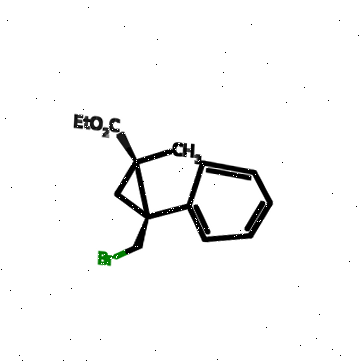 CCOC(=O)[C@]1(C)C[C@@]1(CBr)c1ccccc1